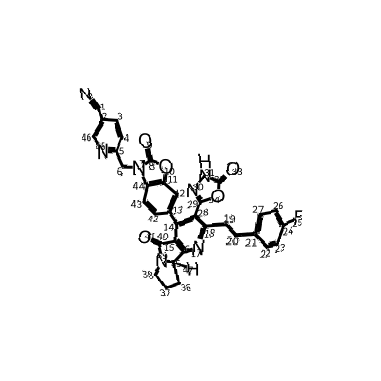 N#Cc1ccc(Cn2c(=O)oc3cc(-c4c5c(nc(CCc6ccc(F)cc6)c4-c4n[nH]c(=O)o4)[C@@H]4CCCN4C5=O)ccc32)nc1